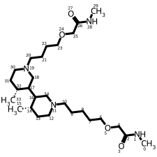 CNC(=O)COCCCCCN1CC[C@H](C)C(C2CN(CCCCOCC(=O)NC)CC[C@H]2C)C1